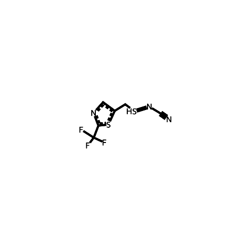 N#CN=[SH]Cc1cnc(C(F)(F)F)s1